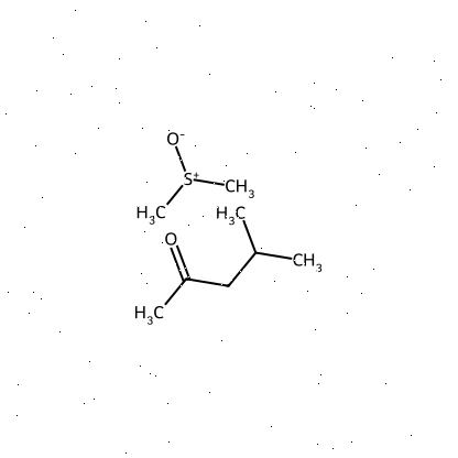 CC(=O)CC(C)C.C[S+](C)[O-]